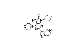 O=c1[nH]c2c(N3CCOCC3)nc(-c3cnn4ccncc34)nc2n1C1CCOCC1